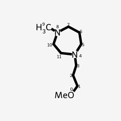 COCCCN1CCCN(C)CC1